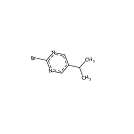 CC(C)c1cnc(Br)nc1